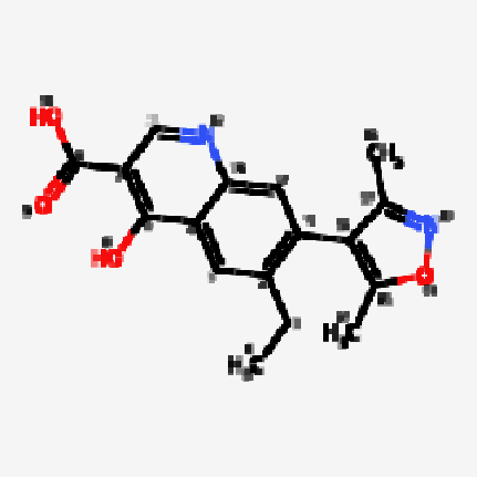 CCc1cc2c(O)c(C(=O)O)cnc2cc1-c1c(C)noc1C